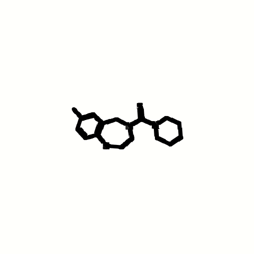 Cc1ccc2c(c1)CN(C(=S)N1CCCCC1)CCS2